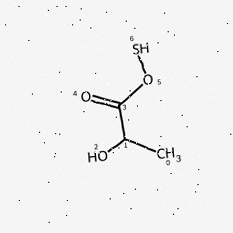 CC(O)C(=O)OS